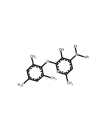 CCCN(CC)c1cc(C)nc(Oc2c(C)cc(C)cc2C)c1O